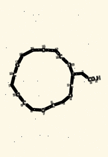 O=C(O)CN1COCCOCCOCCOCCOCCO1